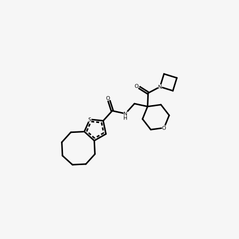 O=C(NCC1(C(=O)N2CCC2)CCOCC1)c1cc2c(s1)CCCCCC2